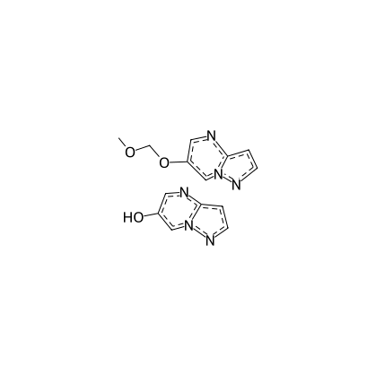 COCOc1cnc2ccnn2c1.Oc1cnc2ccnn2c1